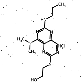 CCCNc1nc(N(C)C)c2nc(NCCO)ncc2n1.Cl